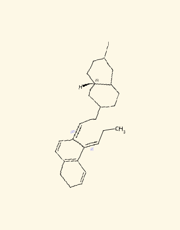 CC/C=c1/c2c(cc/c1=C/CC1CCC3CC(I)CC[C@H]3C1)CCC=C2